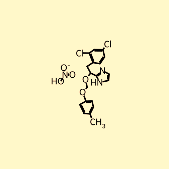 Cc1ccc(OCOC(Cc2ccc(Cl)cc2Cl)c2ncc[nH]2)cc1.O=[N+]([O-])O